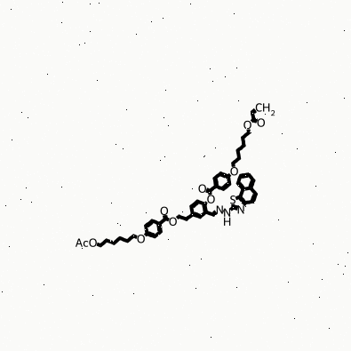 C=CC(=O)OCCCCCCOc1ccc(C(=O)Oc2ccc(CCOC(=O)c3ccc(OCCCCCCOC(C)=O)cc3)cc2/C=N/Nc2nc3ccc4ccccc4c3s2)cc1